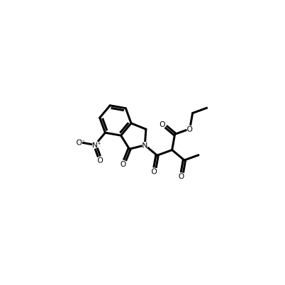 CCOC(=O)C(C(C)=O)C(=O)N1Cc2cccc([N+](=O)[O-])c2C1=O